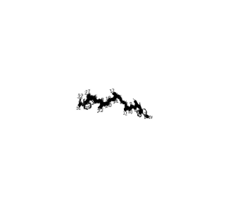 CCOC(=O)C=C(C)CCC=C(C)CCC=C(C)CCC=C(C)CCC=C(C)C(=O)N(C)C